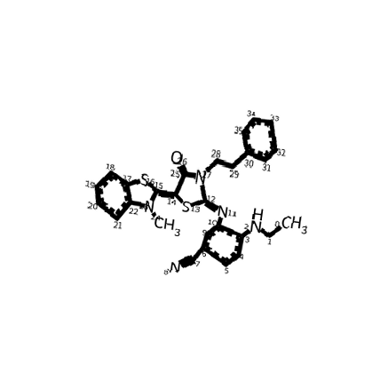 CCNc1ccc(C#N)cc1N=C1SC(=C2Sc3ccccc3N2C)C(=O)N1CCc1ccccc1